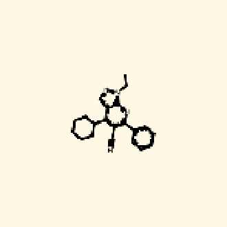 CCn1ncc2c(C3CCCCC3)c(C#N)c(-c3ccccc3)nc21